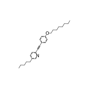 CCCCCCCCOc1ccc(C#Cc2ccc(CCCCC)cn2)cc1